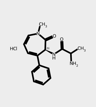 CC(N)C(=O)N[C@@H]1C(=O)N(C)C=CC=C1c1ccccc1.Cl